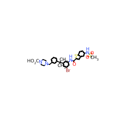 CC(C)(c1cccc(CN2CCN(C(=O)O)CC2)c1)c1cc(Br)cc(NC(=O)c2cc3cc(NS(C)(=O)=O)ccc3s2)c1